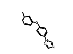 CC1C=C(Sc2ccc(-n3cncn3)cc2)C=CC1